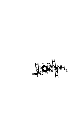 C=CC(N)Oc1ccc2oc(NC(=N)N)nc2c1